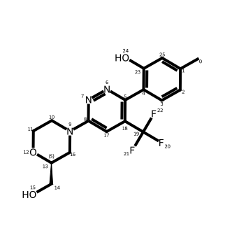 Cc1ccc(-c2nnc(N3CCO[C@H](CO)C3)cc2C(F)(F)F)c(O)c1